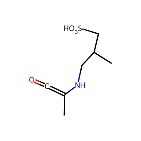 CC(=C=O)NCC(C)CS(=O)(=O)O